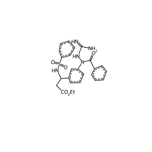 CCOC(=O)CC(NS(=O)(=O)c1ccccc1)c1cccc(N(NC(=N)N)C(=O)c2ccccc2)c1